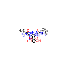 CC(C)CC(N)(CCNc1ccc(NCCC(N)(CC(C)C)C(N)=O)c2c1C(=O)c1c(O)ccc(O)c1C2=O)C(N)=O